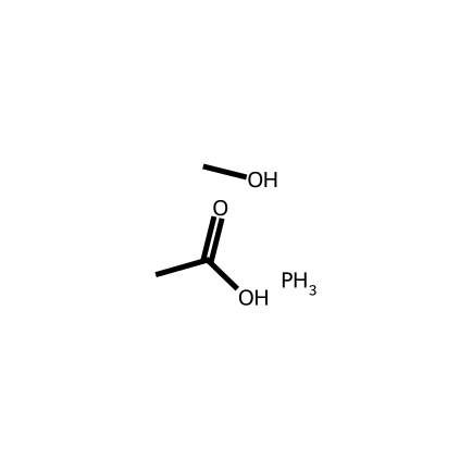 CC(=O)O.CO.P